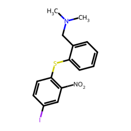 CN(C)Cc1ccccc1Sc1ccc(I)cc1[N+](=O)[O-]